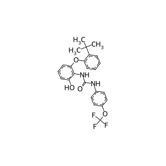 CC(C)(C)c1ccccc1Oc1cccc(O)c1NC(=O)Nc1ccc(OC(F)(F)F)cc1